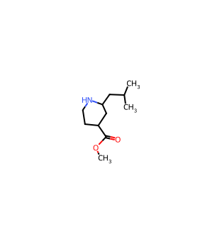 COC(=O)C1CCNC(CC(C)C)C1